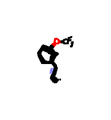 [CH2]/C=C/c1cccc(OC(F)(F)F)c1